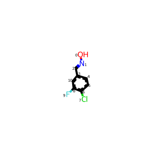 ON=Cc1ccc(Cl)c(F)c1